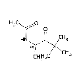 CC(=O)N[C@@H](C)C(=O)C(C)(C)C